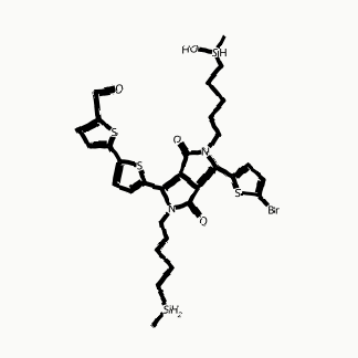 C[SiH2]CCCCCN1C(=O)C2=C(c3ccc(Br)s3)N(CCCCC[SiH](C)O)C(=O)C2=C1c1ccc(-c2ccc(C=O)s2)s1